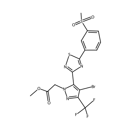 COC(=O)Cn1nc(C(F)(F)F)c(Br)c1-c1nsc(-c2cccc(S(C)(=O)=O)c2)n1